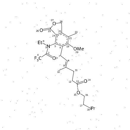 CCN(C(=O)C(F)(F)F)c1c(C/C=C(\C)CCC(=O)OCCC(C)C)c(OC)c(C)c2c1C(=O)OC2